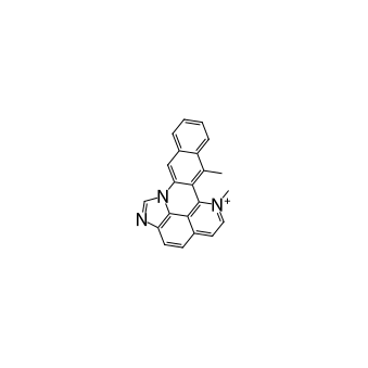 Cc1c2ccccc2cc2c1c1c3c(ccc4ncn2c43)cc[n+]1C